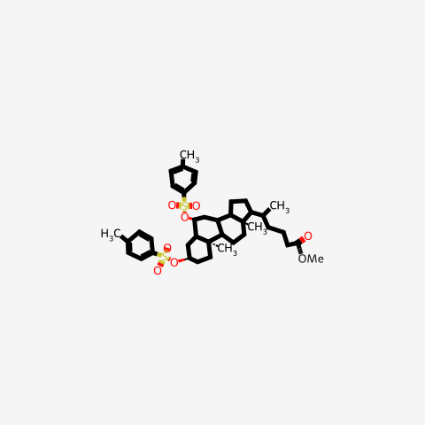 COC(=O)CCCC(C)C1CCC2C3C[C@H](OS(=O)(=O)c4ccc(C)cc4)C4C[C@H](OS(=O)(=O)c5ccc(C)cc5)CC[C@]4(C)C3CC[C@]12C